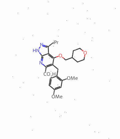 COc1ccc(Cc2c(C(=O)O)nc3[nH]nc(C(C)C)c3c2OCC2CCOCC2)c(OC)c1